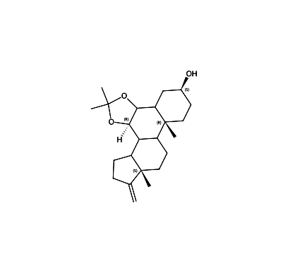 C=C1CCC2C3C(CC[C@]12C)[C@@]1(C)CC[C@H](O)CC1C1OC(C)(C)O[C@@H]13